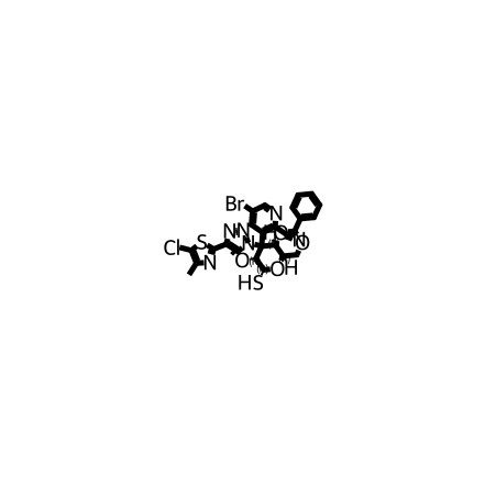 CO[C@H]1[C@@H](S)O[C@@H]2COC(c3ccccc3)O[C@@H]2C1(c1cc(Br)cnc1C#N)n1cc(-c2nc(C)c(Cl)s2)nn1